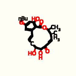 CCCCOc1cc(O)c2c(c1)/C=C/C[C@H](O)[C@H](O)C(=O)/C=C\[C@@H](C)[C@H](C)OC2=O